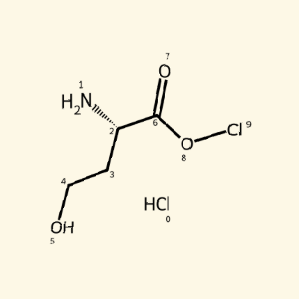 Cl.N[C@@H](CCO)C(=O)OCl